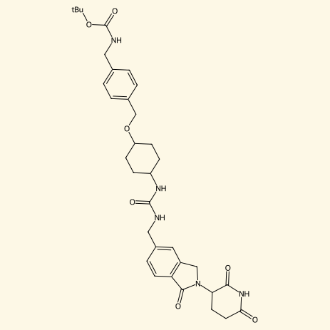 CC(C)(C)OC(=O)NCc1ccc(COC2CCC(NC(=O)NCc3ccc4c(c3)CN(C3CCC(=O)NC3=O)C4=O)CC2)cc1